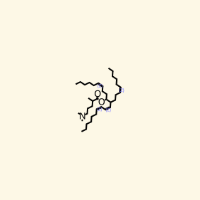 CCCCC/C=C\CCC(/C=C\C=C/CCCCCC)C(CC/C=C\CCCCC)OC(=O)C(C)CCCN(C)C